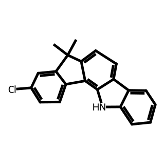 CC1(C)c2cc(Cl)ccc2-c2c1ccc1c2[nH]c2ccccc21